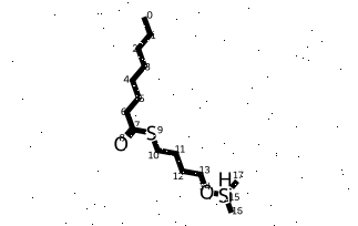 CCCCCCCC(=O)SCCCCO[SiH](C)C